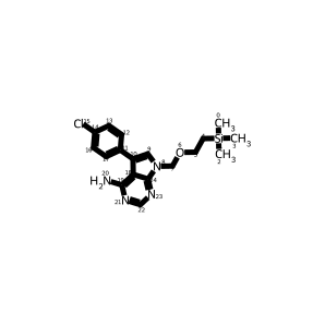 C[Si](C)(C)CCOCn1cc(-c2ccc(Cl)cc2)c2c(N)ncnc21